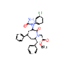 CC(C)(C)OC(=O)CN1C(=O)C(N(C(N)=O)c2cccc(Cl)c2)CC(c2ccccc2)CC1Cc1ccccc1